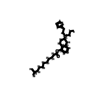 CCCN(CCc1cccs1)C1CCc2c(cccc2OC(=O)CCCCCCCCC(C)C)C1